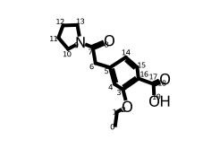 CCOc1cc(CC(=O)N2CCCC2)ccc1C(=O)O